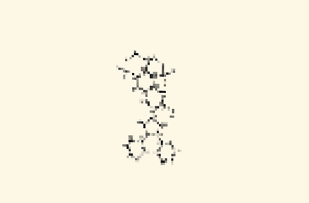 CC1(C)CCN2CCC(C)(C)c3c2c1cc1cc(-c2nc(-c4ccccc4)c(-c4ccccc4)s2)c(=O)oc31